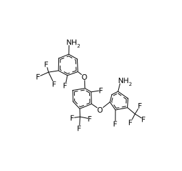 Nc1cc(Oc2ccc(C(F)(F)F)c(Oc3cc(N)cc(C(F)(F)F)c3F)c2F)c(F)c(C(F)(F)F)c1